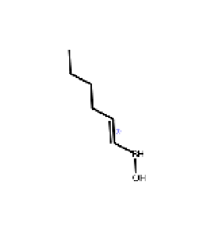 CCCC/C=C/BO